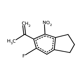 C=C(C)c1c(F)cc2c(c1[N+](=O)[O-])CCC2